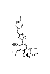 C=C1C(O)=C(c2nc(Cc3ccc(F)cc3)no2)N=C(N2CCOCC2)N1C